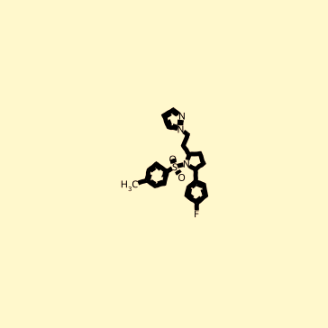 Cc1ccc(S(=O)(=O)N2C(CCn3cccn3)CCC2c2ccc(F)cc2)cc1